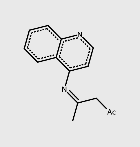 CC(=O)CC(C)=Nc1ccnc2ccccc12